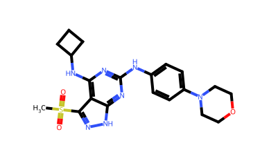 CS(=O)(=O)c1n[nH]c2nc(Nc3ccc(N4CCOCC4)cc3)nc(NC3CCC3)c12